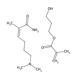 C=C(C)C(=O)OCCCO.CC(=CCCCN(C)C)C(N)=O